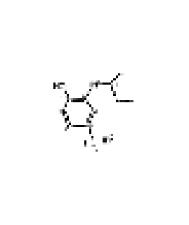 Br.CCC(C)Nc1cc(O)ccc1O